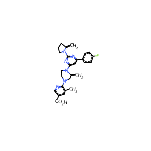 C=C1CN(c2ncc(C(=O)O)cc2C)CCN1c1cc(-c2ccc(F)cc2)nc(N2CCCC2=C)n1